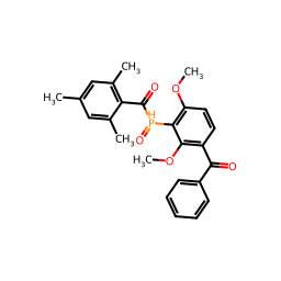 COc1ccc(C(=O)c2ccccc2)c(OC)c1[PH](=O)C(=O)c1c(C)cc(C)cc1C